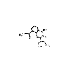 CCC(=O)c1cccc(C(=O)O)c1OC(C)N(CC)CC